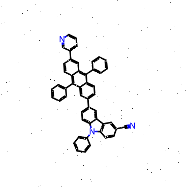 N#Cc1ccc2c(c1)c1cc(-c3ccc4c(-c5ccccc5)c5cc(-c6cccnc6)ccc5c(-c5ccccc5)c4c3)ccc1n2-c1ccccc1